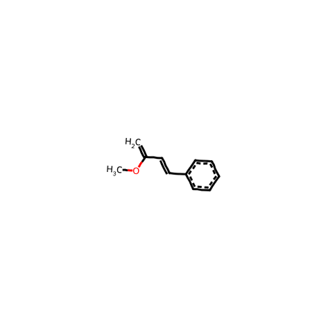 C=C(/C=C/c1ccccc1)OC